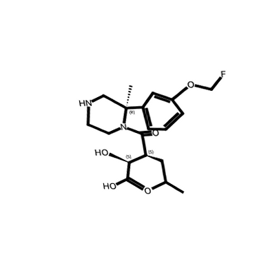 CC(C)C[C@H](C(=O)N1CCNC[C@@]1(C)c1cccc(OCF)c1)[C@H](O)C(=O)O